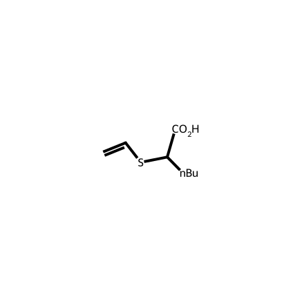 C=CSC(CCCC)C(=O)O